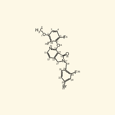 COc1ccc(F)c(Oc2nccc3c2C(=O)N(Cc2ccc(Br)cc2F)C3)c1F